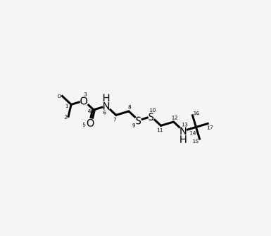 CC(C)OC(=O)NCCSSCCNC(C)(C)C